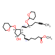 CC#CCC[C@@H](/C=C/[C@@H]1[C@@H](C/C=C\CCCC(=O)OC)[C@H](O)C[C@H]1OC1CCCCO1)OC1CCCCO1